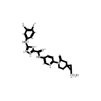 C=C1CC2(CCN1c1ccc(NC(=O)c3nnc(Nc4ccc(F)c(F)c4)o3)cn1)CC2C(=O)OCC